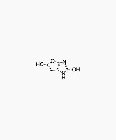 Oc1nc2oc(O)cc2[nH]1